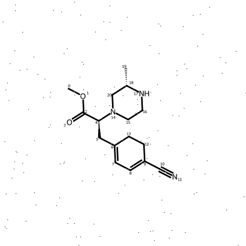 COC(=O)[C@H](CC1=CC=C(C#N)CC1)N1CCN[C@@H](C)C1